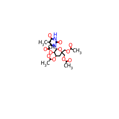 CC(=O)OCC1(COC(C)=O)CC(OC(C)=O)C(OC(C)=O)[C@H](n2cc(C)c(=O)[nH]c2=O)O1